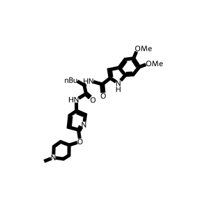 CCCCC(NC(=O)c1cc2cc(OC)c(OC)cc2[nH]1)C(=O)Nc1ccc(OC2CCN(C)CC2)nc1